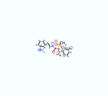 CP(=O)(O)C(C(=O)N/C=C/c1cccc(N)c1)C1CSc2ccc(Cl)cc21